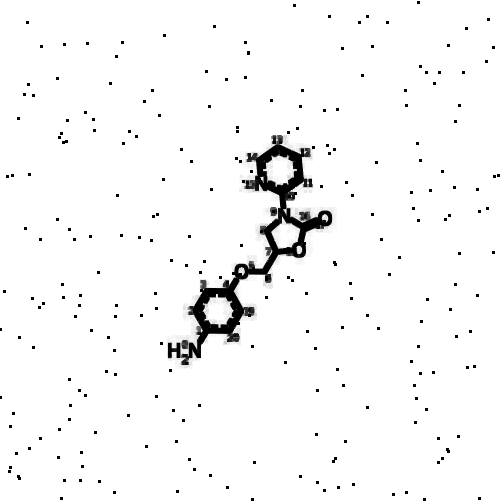 Nc1ccc(OCC2CN(c3ccccn3)C(=O)O2)cc1